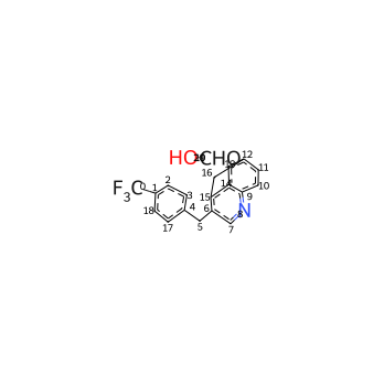 FC(F)(F)c1ccc(Cc2cnc3ccc4cc3c2C4)cc1.O=CO